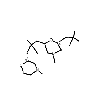 CN1CCO[C@H](CC(C)(C)CC2CN(C)C[C@H](CC(C)(C)C)O2)C1